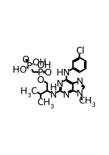 CC(C)C(COP(=O)(O)CP(=O)(O)O)Nc1nc(Nc2cccc(Cl)c2)c2ncn(C)c2n1